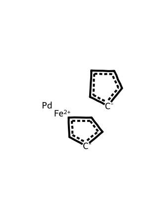 [Fe+2].[Pd].c1cc[cH-]c1.c1cc[cH-]c1